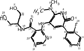 CN(C)c1[nH]c(=O)c(-c2ccncc2F)cc1Nc1ncncc1C(=O)NC(CO)CO